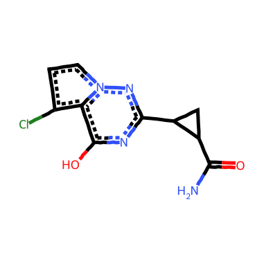 NC(=O)C1CC1c1nc(O)c2c(Cl)ccn2n1